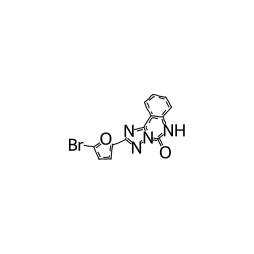 O=c1[nH]c2ccccc2c2nc(-c3ccc(Br)o3)nn12